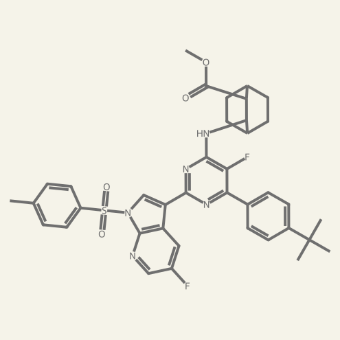 COC(=O)C1C2CCC(CC2)C1Nc1nc(-c2cn(S(=O)(=O)c3ccc(C)cc3)c3ncc(F)cc23)nc(-c2ccc(C(C)(C)C)cc2)c1F